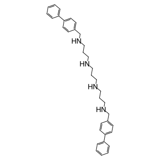 c1ccc(-c2ccc(CNCCCNCCCNCCCNCc3ccc(-c4ccccc4)cc3)cc2)cc1